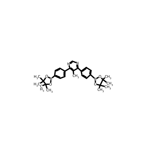 Cc1c(-c2ccc(B3OC(C)(C)C(C)(C)O3)cc2)ncnc1-c1ccc(B2OC(C)(C)C(C)(C)O2)cc1